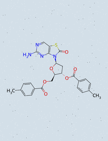 Cc1ccc(C(=O)OC[C@H]2O[C@@H](n3c(=O)sc4cnc(N)nc43)C[C@@H]2OC(=O)c2ccc(C)cc2)cc1